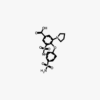 NS(=O)(=O)c1ccc(Oc2c(N3CCCC3)cc(C(=O)O)cc2S(N)(=O)=O)cc1